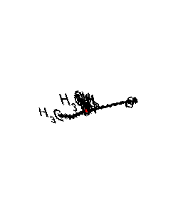 CCCCCCCCCCCCCCCCOCC(CNCCCCCCCCCCCCCCCCC(=O)OCc1ccccc1)OP(=O)([O-])OCC[N+](C)(C)C